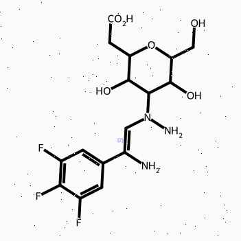 N/C(=C\N(N)C1C(O)C(CO)OC(CC(=O)O)C1O)c1cc(F)c(F)c(F)c1